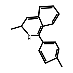 Cc1ccc(C2=c3ccccc3=CC(C)N2)cc1